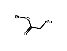 CCCCCC(=O)OC(C)CC